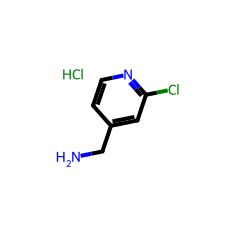 Cl.NCc1ccnc(Cl)c1